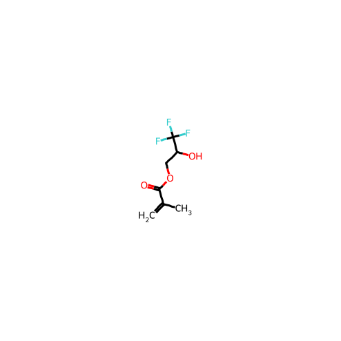 C=C(C)C(=O)OCC(O)C(F)(F)F